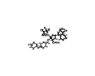 CCCCn1cc(-c2cc(OC)c(OCC3CCN(CC4CCNCC4)CC3)c(OC)c2)c2ccncc2c1=O.O=C(O)C(F)(F)F